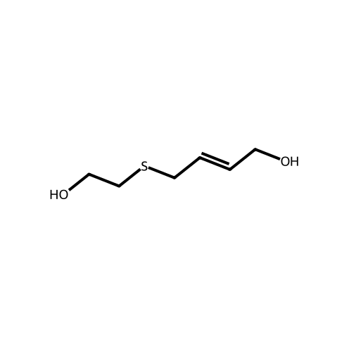 OCC=CCSCCO